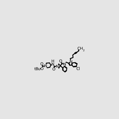 C=CC#CCCCn1c(CN2C(=O)C3(CN(C(=O)NC4CCN(C(=O)OC(C)(C)C)CC4)C3)c3ccccc32)cc2cc(Cl)ccc21